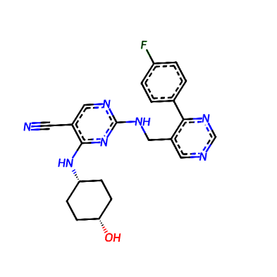 N#Cc1cnc(NCc2cncnc2-c2ccc(F)cc2)nc1N[C@H]1CC[C@@H](O)CC1